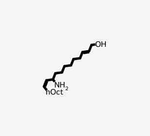 CCCCCCCC/C=C\C(N)CCCCCCC=CCO